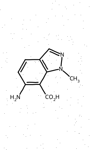 Cn1ncc2ccc(N)c(C(=O)O)c21